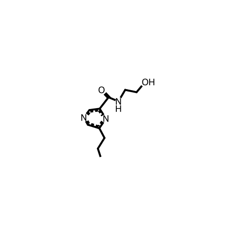 CCCc1cncc(C(=O)NCCO)n1